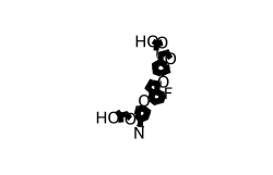 CC(C)(O)COc1cc(Oc2ccc(F)c3c2CC[C@H]3Oc2ccc3c(c2)OC[C@H]3CC(=O)O)ccc1C#N